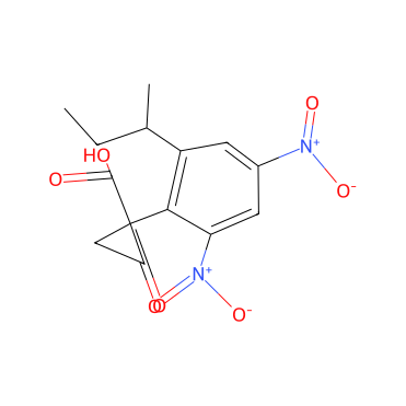 CCC(C)c1cc([N+](=O)[O-])cc([N+](=O)[O-])c1C1(C(=O)O)CC1=O